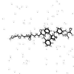 CN[C@@H](Cc1ccc(Cn2nnc3c2-c2ccccc2N(C(=O)CCCCC(=O)NCCOCCOC)Cc2ccccc2-3)cc1)C(C)=O